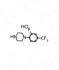 C[C@@H]1CNCCN1c1ccc(C(F)(F)F)cc1F.Cl